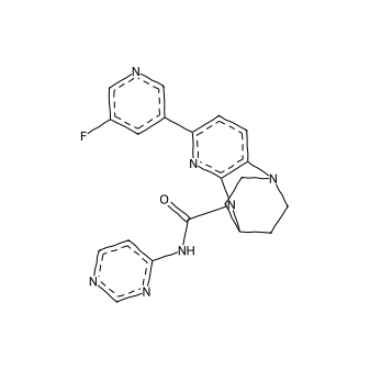 O=C(Nc1ccncn1)N1c2nc(-c3cncc(F)c3)ccc2N2CCC1CC2